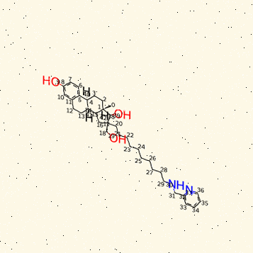 C[C@]12CC[C@@H]3c4ccc(O)cc4CC[C@H]3[C@@H]1C[C@@](CO)(CCCCCCCCCCNCc1ccccn1)[C@@H]2O